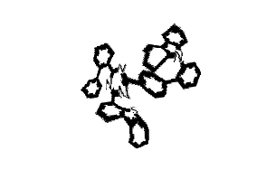 c1c(-c2nc(-c3ccccc3-c3ccccc3)nc(-c3cccc4c3sc3ccccc34)n2)ccc(-c2ccccc2-n2c3c(c4ccccc42)C=CCC3)c#1